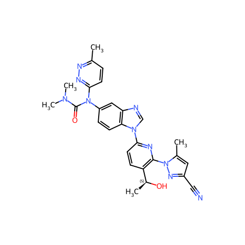 Cc1ccc(N(C(=O)N(C)C)c2ccc3c(c2)ncn3-c2ccc([C@H](C)O)c(-n3nc(C#N)cc3C)n2)nn1